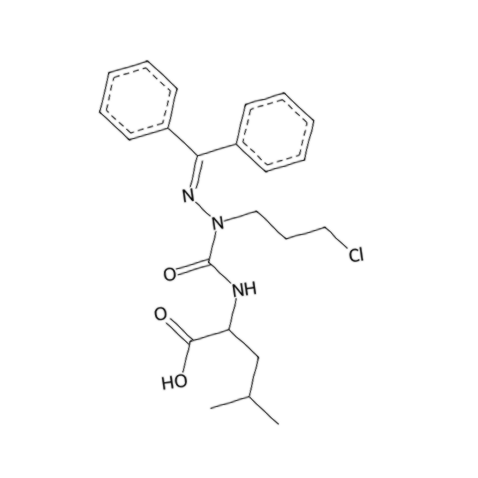 CC(C)CC(NC(=O)N(CCCCl)N=C(c1ccccc1)c1ccccc1)C(=O)O